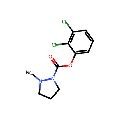 N#CN1CCCN1C(=O)Oc1cccc(Cl)c1Cl